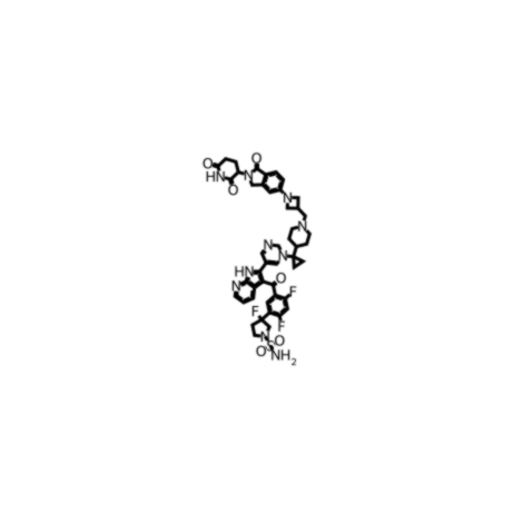 NS(=O)(=O)N1CCC(F)(c2cc(C(=O)c3c(C4=CN(C5(C6CCN(CC7CN(c8ccc9c(c8)CN(C8CCC(=O)NC8=O)C9=O)C7)CC6)CC5)CN=C4)[nH]c4ncccc34)c(F)cc2F)C1